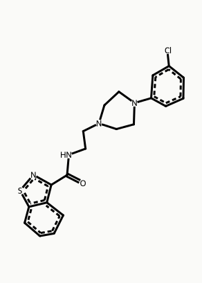 O=C(NCCN1CCN(c2cccc(Cl)c2)CC1)c1nsc2ccccc12